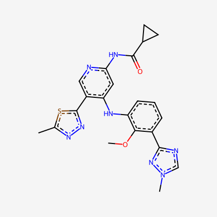 COc1c(Nc2cc(NC(=O)C3CC3)ncc2-c2nnc(C)s2)cccc1-c1ncn(C)n1